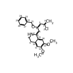 C=C(Cl)/C=C(\C=C1/NCCc2cc(OC)c(OC)cc21)OCc1ccccc1